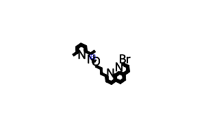 C/C(=N\OCCCc1ccc2ccc3ccc(Br)nc3c2n1)c1cccc(C)n1